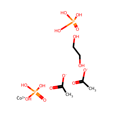 CC(=O)[O-].CC(=O)[O-].O=P(O)(O)O.O=P(O)(O)O.OCCO.[Co+2]